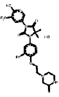 CC1CN(CCOc2ccc(N3C(=S)N(c4cnc(C#N)c(C(F)(F)F)c4)C(=O)C3(C)C)cc2C(C)C)CCN1.Cl